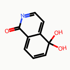 O=C1N=CC=C2C1=CC=CC2(O)O